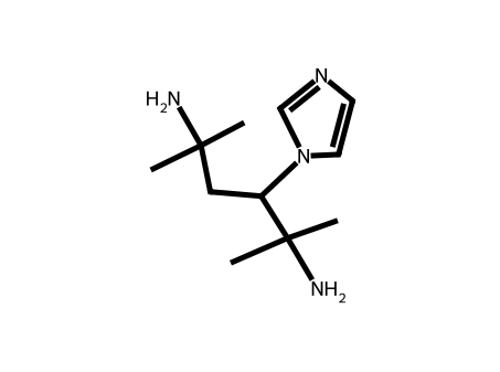 CC(C)(N)CC(n1ccnc1)C(C)(C)N